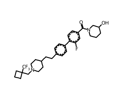 O=C(c1ccc(-c2ccc(CCC3CCN(CC4(C(F)(F)F)CCC4)CC3)cc2)c(F)c1)N1CCCC(O)C1